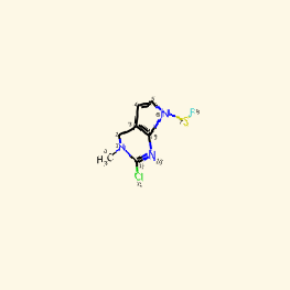 CN1Cc2ccn(SF)c2N=C1Cl